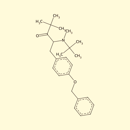 CN(C(Cc1ccc(OCc2ccccc2)cc1)C(=O)C(C)(C)C)C(C)(C)C